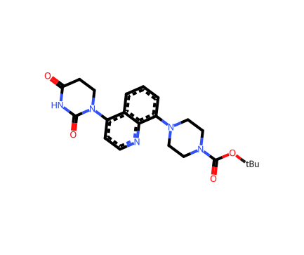 CC(C)(C)OC(=O)N1CCN(c2cccc3c(N4CCC(=O)NC4=O)ccnc23)CC1